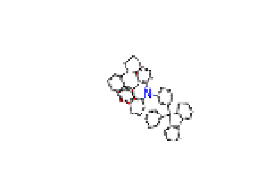 c1ccc(C2(c3cccc(N(c4ccccc4-c4cccc5cccc(C6CCCCC6)c45)c4cccc5ccccc45)c3)c3ccccc3-c3ccccc32)cc1